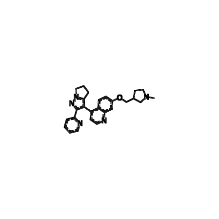 CN1CCC(COc2ccc3c(-c4c(-c5ccccn5)nn5c4CCC5)ccnc3c2)C1